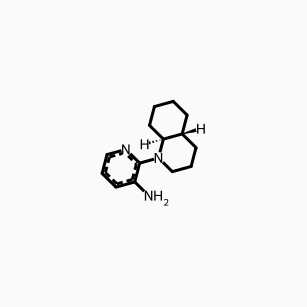 Nc1cccnc1N1CCC[C@H]2CCCC[C@@H]21